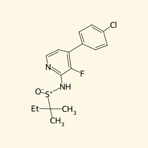 CCC(C)(C)[S+]([O-])Nc1nccc(-c2ccc(Cl)cc2)c1F